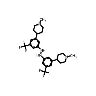 CN1CCC(c2cc(NNc3cc(C4CCN(C)CC4)cc(C(F)(F)F)c3)cc(C(F)(F)F)c2)CC1